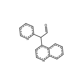 O=CC(c1ccccn1)c1ccnc2ccccc12